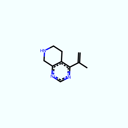 C=C(C)c1ncnc2c1CCNC2